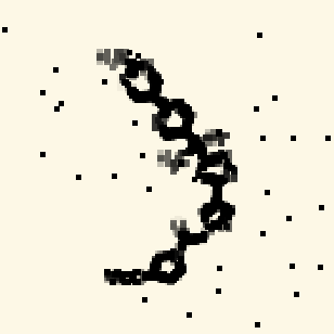 COC1CCN(C(=O)Cn2cc(-c3nc([C@@](C)(c4ccc(-c5cnc(N)nc5)nc4)C(C)C)no3)cn2)C1